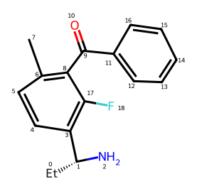 CC[C@@H](N)c1ccc(C)c(C(=O)c2ccccc2)c1F